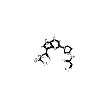 C=CC(=O)N[C@H]1CCN(c2cnc3[nH]cc(C(=O)NC(C)C)c3n2)C1